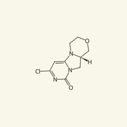 O=c1nc(Cl)cc2n1C[C@H]1COCCN21